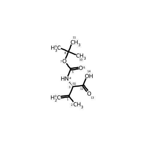 C=C(C)[C@H](NC(=O)OC(C)(C)C)C(=O)O